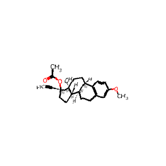 C#C[C@]1(OC(C)=O)CC[C@H]2[C@@H]3CCc4cc(OC)ccc4[C@H]3CC[C@@]21C